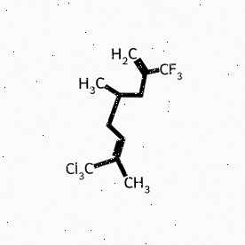 C=C(CC(C)C/C=C(/C)C(Cl)(Cl)Cl)C(F)(F)F